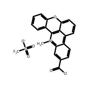 C[n+]1c2c3c(cccc3c3ccc(C(=O)Cl)cc31)Oc1ccccc1-2.O=S(=O)([O-])C(F)(F)F